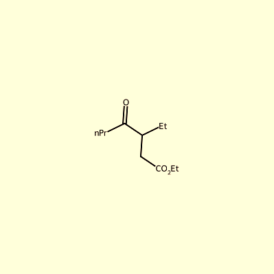 CCCC(=O)C(CC)CC(=O)OCC